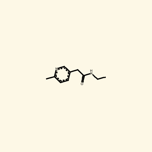 CCNC(=O)Cc1ccc(C)nc1